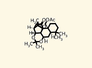 C=C1C(=O)[C@@]23[C@@H]4OC(C)(C)O[C@@H]2C[C@@H]2C(C)(C)CCC[C@@]2(COC(C)=O)[C@@H]3C(=O)C[C@@H]14